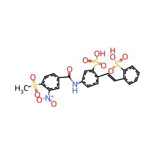 CS(=O)(=O)c1ccc(C(=O)Nc2ccc(C=Cc3ccccc3S(=O)(=O)O)c(S(=O)(=O)O)c2)cc1[N+](=O)[O-]